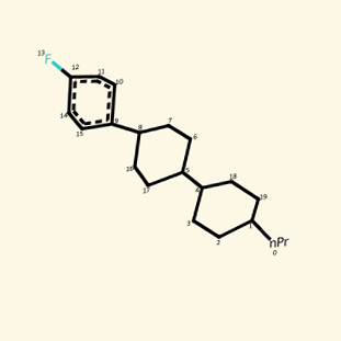 CCCC1CCC(C2CCC(c3ccc(F)cc3)CC2)CC1